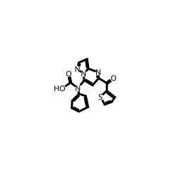 O=C(c1cc(N(C(=O)O)c2ccccc2)n2nccc2n1)c1cccs1